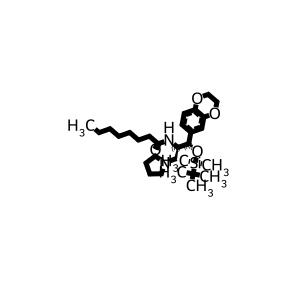 CCCCCCCC(=O)N[C@H](CN1CCCC1)[C@H](O[Si](C)(C)C(C)(C)C)c1ccc2c(c1)OCCO2